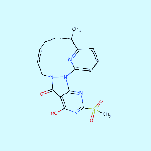 CC1CCC=CCn2c(=O)c3c(O)nc(S(C)(=O)=O)nc3n2-c2cccc1n2